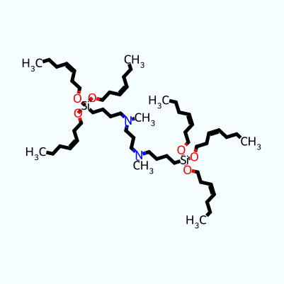 CCC/C=C\CCO[Si](CCCCN(C)CCCN(C)CCCC[Si](OCC/C=C\CCC)(OCC/C=C\CCC)OCC/C=C\CCC)(OCC/C=C\CCC)OCC/C=C\CCC